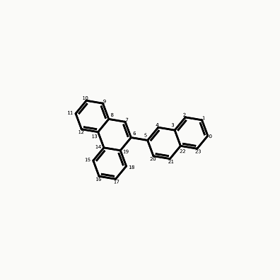 c1ccc2cc(-c3cc4ccccc4c4ccccc34)ccc2c1